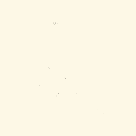 COc1ccc(Sc2cnc3[nH]c(N4CCC(C)(N)CC4)nc3n2)cc1